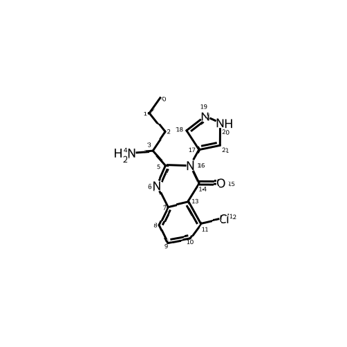 CCCC(N)c1nc2cccc(Cl)c2c(=O)n1-c1cn[nH]c1